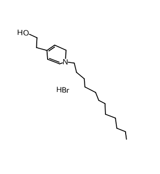 Br.CCCCCCCCCCCCN1C=CC(CCO)=CC1